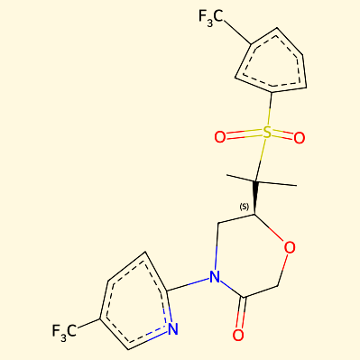 CC(C)([C@@H]1CN(c2ccc(C(F)(F)F)cn2)C(=O)CO1)S(=O)(=O)c1cccc(C(F)(F)F)c1